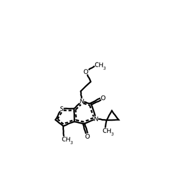 COCCn1c(=O)n(C2(C)CC2)c(=O)c2c(C)csc21